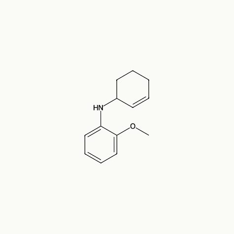 COc1ccccc1NC1C=CCCC1